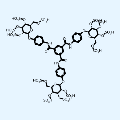 O=C(Nc1ccc(O[C@@H]2O[C@H](COS(=O)(=O)O)[C@@H](OS(=O)(=O)O)[C@H](OS(=O)(=O)O)[C@H]2OS(=O)(=O)O)cc1)c1cc(C(=O)Nc2ccc(O[C@@H]3O[C@H](COS(=O)(=O)O)[C@@H](OS(=O)(=O)O)[C@H](OS(=O)(=O)O)[C@H]3OS(=O)(=O)O)cc2)cc(C(=O)Nc2ccc(O[C@@H]3O[C@H](COS(=O)(=O)O)[C@@H](OS(=O)(=O)O)[C@H](OS(=O)(=O)O)[C@H]3OS(=O)(=O)O)cc2)c1